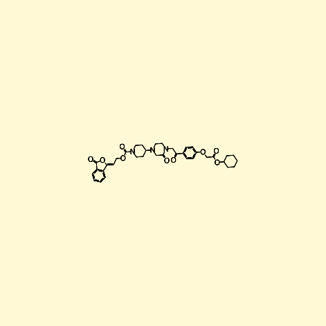 O=C(COc1ccc(C(=O)CN2CCN(C3CCN(C(=O)OCC=C4OC(=O)c5ccccc54)CC3)CC2=O)cc1)OC1CCCCC1